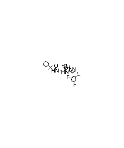 CC(Cc1cc(NC(=O)CCNC(=O)CC(C)(C)c2ccccc2)n(C(C)(C)C)n1)c1cc(F)cc(F)c1